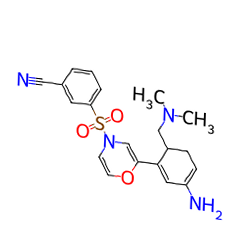 CN(C)CC1CC=C(N)C=C1C1=CN(S(=O)(=O)c2cccc(C#N)c2)C=CO1